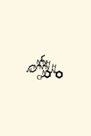 CCc1nc(Nc2nc(Cl)ccc2Nc2ccccc2)nc(N2CCN(C)CC2)n1